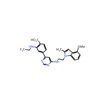 COc1cccc2c1cc(C)n2CCNc1cc(-c2ccc(C(=O)O)c(NCC(F)(F)F)c2)ncn1